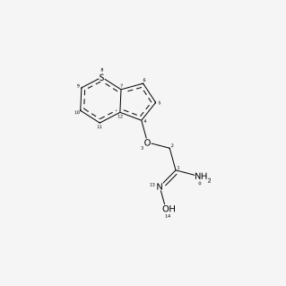 NC(COc1ccc2scccc1-2)=NO